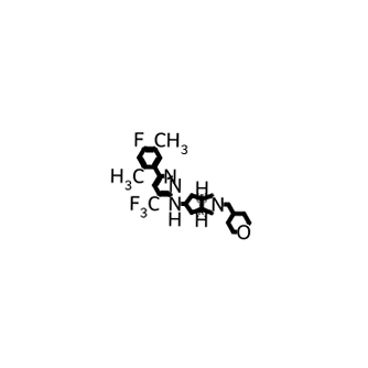 Cc1cc(-c2cc(C(F)(F)F)c(NC3C[C@@H]4CN(CC5CCOCC5)C[C@@H]4C3)nn2)c(C)cc1F